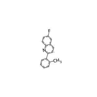 Cc1ccccc1-c1[c]cc2cc(F)ccc2n1